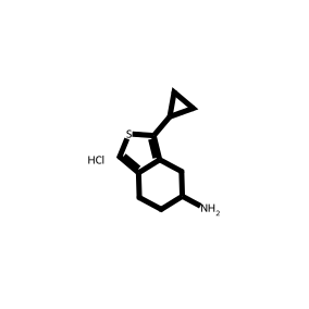 Cl.NC1CCc2csc(C3CC3)c2C1